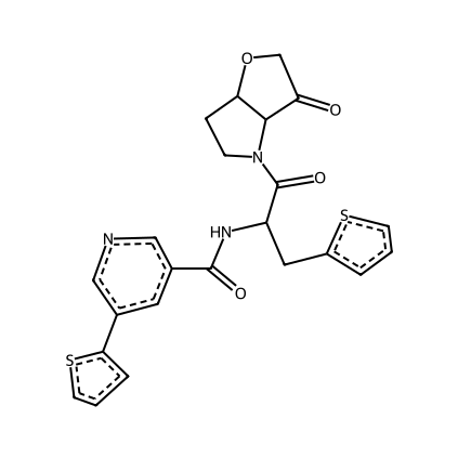 O=C(NC(Cc1cccs1)C(=O)N1CCC2OCC(=O)C21)c1cncc(-c2cccs2)c1